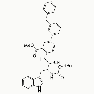 COC(=O)c1cc(-c2cccc(Cc3ccccc3)c2)ccc1NC(C#N)C(Cc1c[nH]c2ccccc12)NC(=O)OC(C)(C)C